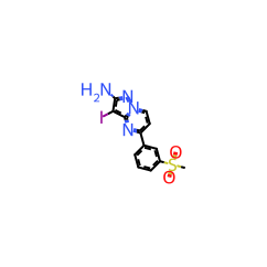 CS(=O)(=O)c1cccc(-c2ccn3nc(N)c(I)c3n2)c1